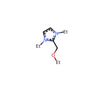 CCOCc1n(CC)cc[n+]1CC